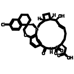 O=C(O)C[C@@H]1CC/C=C/[C@H](O)[C@@H]2CC[C@H]2CN2C[C@@]3(CCCc4cc(Cl)ccc43)COc3ccc(cc32)C(=O)NS1(=O)=O